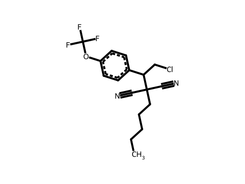 CCCCCC(C#N)(C#N)C(CCl)c1ccc(OC(F)(F)F)cc1